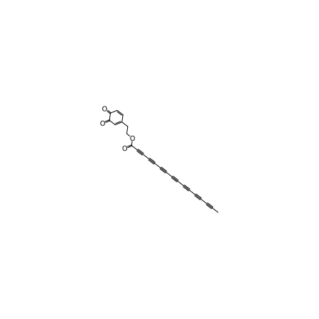 CC#CC#CC#CC#CC#CC#CC#CC(=O)OCCC1=CC(=O)C(=O)C=C1